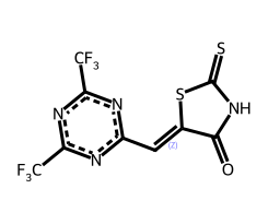 O=C1NC(=S)S/C1=C\c1nc(C(F)(F)F)nc(C(F)(F)F)n1